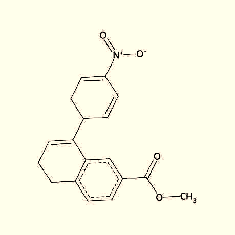 COC(=O)c1ccc2c(c1)C(C1C=CC([N+](=O)[O-])=CC1)=CCC2